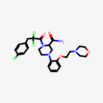 NC(=O)C1CN(c2ccccc2OCCN2CCOCC2)CCN1C(=O)C(Cl)(Cl)Cc1ccc(Cl)cc1